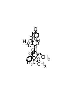 C=C[C@H](NP(=O)(OC[C@H]1O[C@H]2n3ccc(=O)nc3O[C@@]2(C)C1=O)Oc1ccccc1)C(=O)OC(C)C